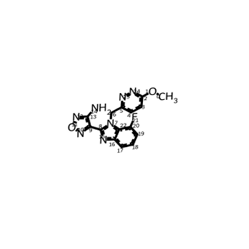 COc1ccc(Cn2c(-c3nonc3N)nc3cccc(F)c32)nn1